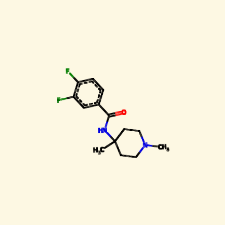 CN1CCC(C)(NC(=O)c2ccc(F)c(F)c2)CC1